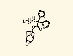 C[N+]1(C)C2CC(OC(=O)C(O)(c3cccs3)c3cccs3)CC1C1OC12.O.[Br-]